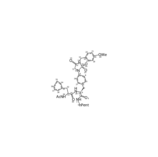 CCCCCNC(=O)[C@H](Cc1ccc(N2CC(=O)N(Cc3ccc(OC)cc3)S2(=O)=O)cc1)NC(=O)C(Cc1ccccc1)NC(C)=O